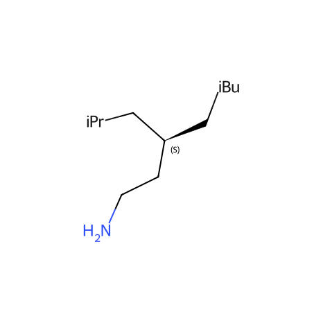 CCC(C)C[C@@H](CCN)CC(C)C